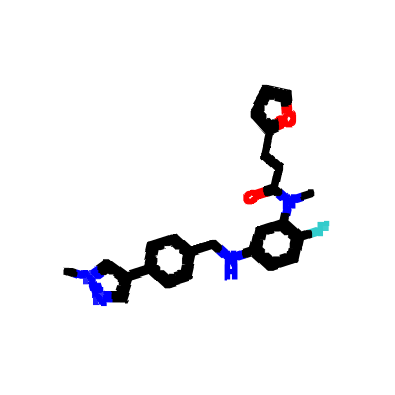 CN(C(=O)CCc1ccco1)c1cc(NCc2ccc(-c3cnn(C)c3)cc2)ccc1F